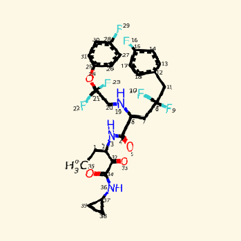 CCC(NC(=O)C(CC(F)(F)Cc1ccc(F)cc1)NCC(F)(F)Oc1ccc(F)cc1)C(=O)C(=O)NC1CC1